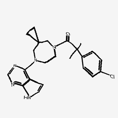 CC(C)(C(=O)N1CCN(c2ncnc3[nH]ccc23)CC2(CC2)C1)c1ccc(Cl)cc1